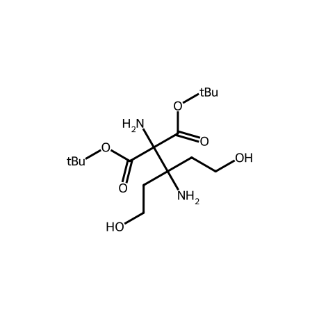 CC(C)(C)OC(=O)C(N)(C(=O)OC(C)(C)C)C(N)(CCO)CCO